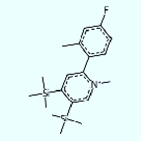 Cc1cc(F)ccc1-c1cc([Si](C)(C)C)c([Si](C)(C)C)c[n+]1C